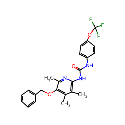 Cc1nc(NC(=O)Nc2ccc(OC(F)(F)F)cc2)c(C)c(C)c1OCc1ccccc1